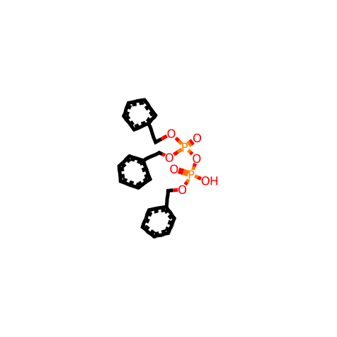 O=P(O)(OCc1ccccc1)OP(=O)(OCc1ccccc1)OCc1ccccc1